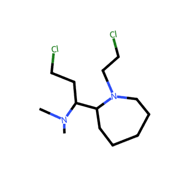 CN(C)C(CCCl)C1CCCCCN1CCCl